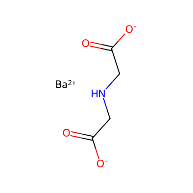 O=C([O-])CNCC(=O)[O-].[Ba+2]